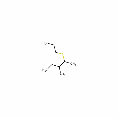 [CH2]CCSC(C)C(C)CC